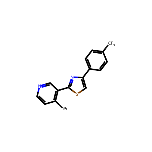 CC(C)c1ccncc1-c1nc(-c2ccc(C(F)(F)F)cc2)cs1